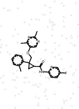 Cc1ncc(OCC2(c3ccccc3C)CC2C(=O)Nc2ccc(F)cn2)c(C)n1